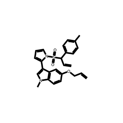 C=CCOc1ccc2c(c1)c(-c1cccn1S(=O)(=O)C(C=C)c1ccc(C)cc1)cn2C